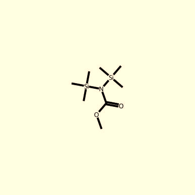 COC(=O)N([Si](C)(C)C)[Si](C)(C)C